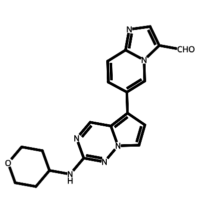 O=Cc1cnc2ccc(-c3ccn4nc(NC5CCOCC5)ncc34)cn12